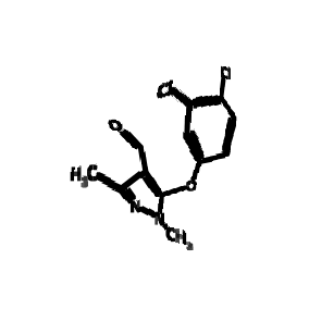 Cc1nn(C)c(Oc2ccc(Cl)c(Cl)c2)c1C=O